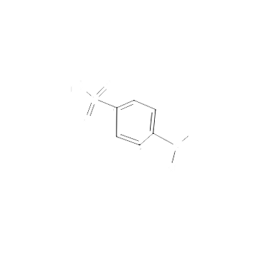 C[S+](C)c1ccc(S(C)(=O)=O)cc1